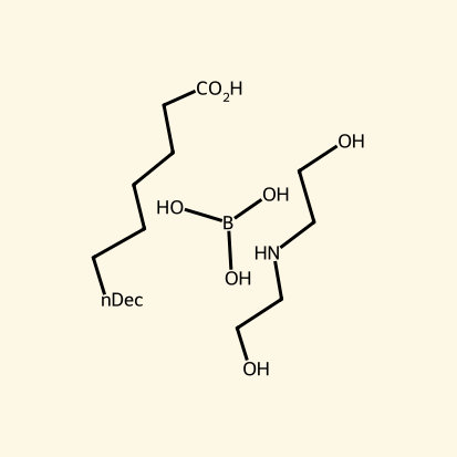 CCCCCCCCCCCCCCCC(=O)O.OB(O)O.OCCNCCO